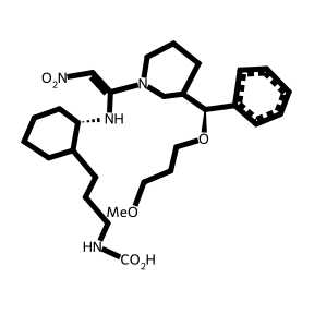 COCCCO[C@H](c1ccccc1)C1CCCN(C(=C[N+](=O)[O-])N[C@H]2CCCCC2CCCNC(=O)O)C1